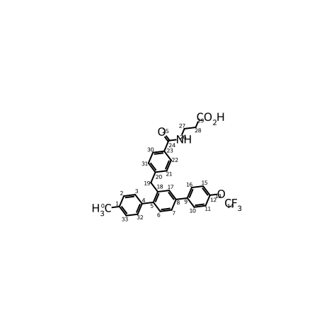 Cc1ccc(-c2ccc(-c3ccc(OC(F)(F)F)cc3)cc2Cc2ccc(C(=O)NCCC(=O)O)cc2)cc1